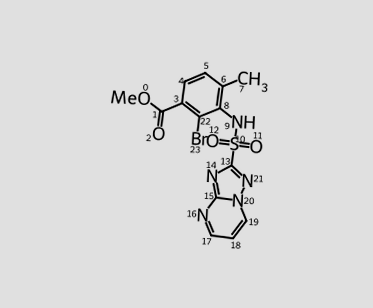 COC(=O)c1ccc(C)c(NS(=O)(=O)c2nc3ncccn3n2)c1Br